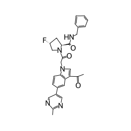 CC(=O)c1cn(CC(=O)N2C[C@H](F)C[C@H]2C(=O)NCc2ccccc2)c2ccc(-c3cnc(C)nc3)cc12